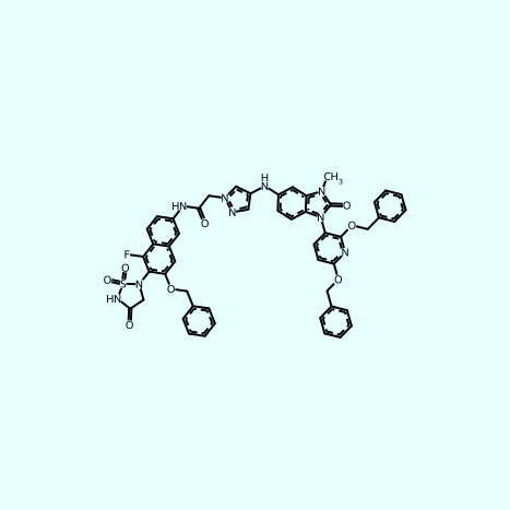 Cn1c(=O)n(-c2ccc(OCc3ccccc3)nc2OCc2ccccc2)c2ccc(Nc3cnn(CC(=O)Nc4ccc5c(F)c(N6CC(=O)NS6(=O)=O)c(OCc6ccccc6)cc5c4)c3)cc21